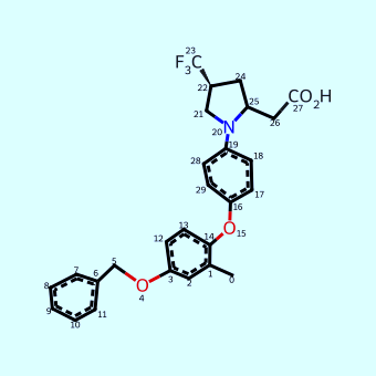 Cc1cc(OCc2ccccc2)ccc1Oc1ccc(N2C[C@@H](C(F)(F)F)CC2CC(=O)O)cc1